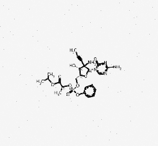 CC#CC1(N)[C@@H](O)[C@@H](CO[P@](=O)(Oc2ccccc2)O[C@@H](C)C(=O)OC(C)C)O[C@H]1n1cnc(N)nc1=O